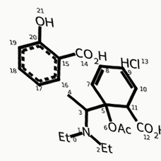 CCN(CC)C(C)C1(OC(C)=O)C=CC=CC1C(=O)O.Cl.O=C(O)c1ccccc1O